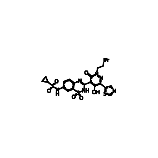 CC(C)CCn1nc(-c2cncs2)c(O)c(C2=Nc3ccc(NS(=O)(=O)C4CC4)cc3S(=O)(=O)N2)c1=O